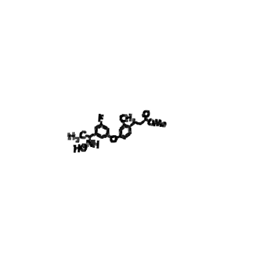 COC(=O)CCc1ccc(Oc2cc(F)cc(C(C)NO)c2)cc1C